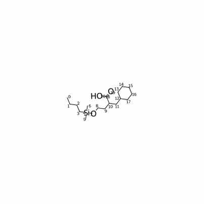 CCCC[Si](C)(C)OCCC(CC1CCCCC1)C(=O)O